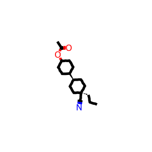 CCC[C@]1(C#N)CC[C@@H](C2CCC(OC(C)=O)CC2)CC1